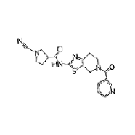 N#CN1CCC(C(=O)Nc2nc3c(s2)CN(C(=O)c2cccnc2)CC3)C1